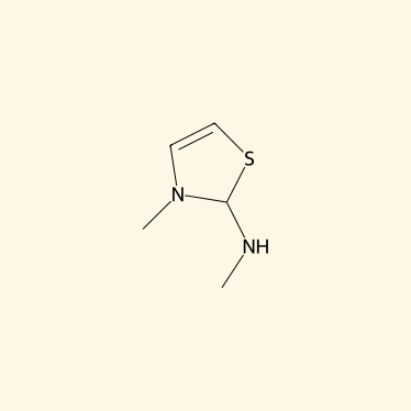 CNC1SC=CN1C